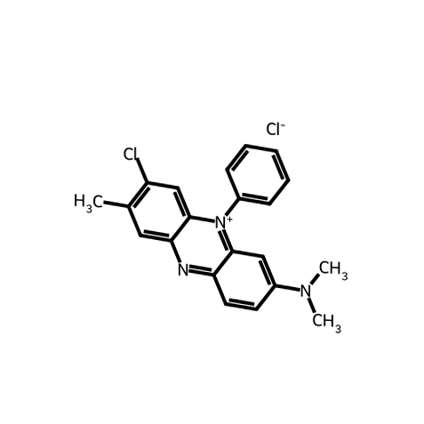 Cc1cc2nc3ccc(N(C)C)cc3[n+](-c3ccccc3)c2cc1Cl.[Cl-]